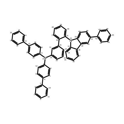 c1ccc(-c2ccc(N(c3ccc(-c4ccccc4)cc3)c3cccc(-c4ccccc4-n4c5ccccc5c5cc(-c6ccccc6)ccc54)c3)cc2)cc1